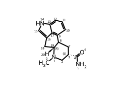 CN1C[C@@H](C(N)=O)CC2c3cccc4[nH]cc(c34)C[C@H]21